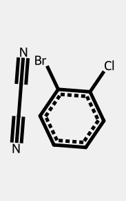 Clc1ccccc1Br.N#CC#N